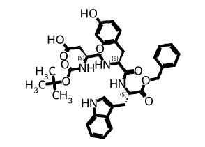 CC(C)(C)OC(=O)N[C@@H](CC(=O)O)C(=O)N[C@@H](Cc1ccc(O)cc1)C(=O)N[C@@H](Cc1c[nH]c2ccccc12)C(=O)OCc1ccccc1